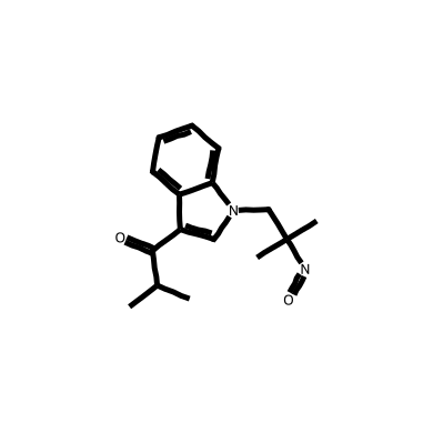 CC(C)C(=O)c1cn(CC(C)(C)N=O)c2ccccc12